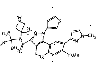 BC(B)(B)N(C(=O)c1nn(-c2ccsc2)c2c1COc1cc(OC)c(-c3ccn(C)n3)cc1-2)C1(C)CNC1